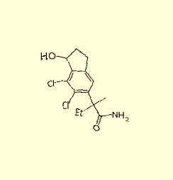 CCC(C)(C(N)=O)c1cc2c(c(Cl)c1Cl)C(O)CC2